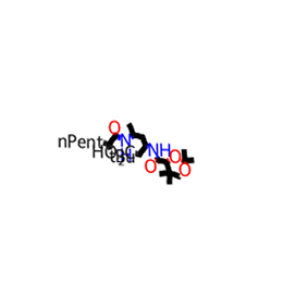 CCCCCC(C(=O)NC(C)CC(CC(=O)O)NC(=O)C1OC(C)(C)OCC1(C)C)C(C)(C)C